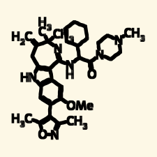 C=C1Cc2[nH]c3cc(-c4c(C)noc4C)c(OC)cc3c2C(NC(C(=O)N2CCN(C)CC2)C2CCCCC2)=NC1(C)C